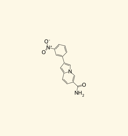 NC(=O)c1ccc2cc(-c3cccc([N+](=O)[O-])c3)cn2c1